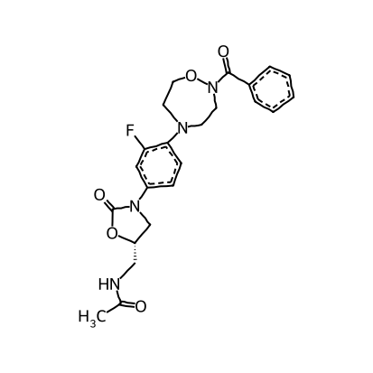 CC(=O)NC[C@H]1CN(c2ccc(N3CCON(C(=O)c4ccccc4)CC3)c(F)c2)C(=O)O1